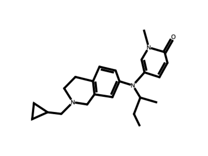 CCC(C)N(c1ccc2c(c1)CN(CC1CC1)CC2)c1ccc(=O)n(C)c1